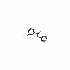 O=C(Cc1ccncc1)c1cccc([N+](=O)[O-])c1